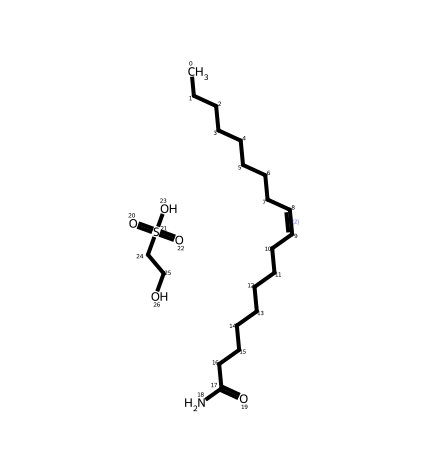 CCCCCCCC/C=C\CCCCCCCC(N)=O.O=S(=O)(O)CCO